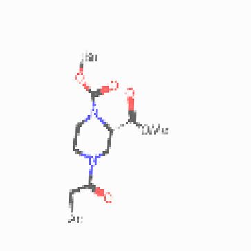 COC(=O)[C@@H]1CN(C(=O)CC(C)=O)CCN1C(=O)OC(C)(C)C